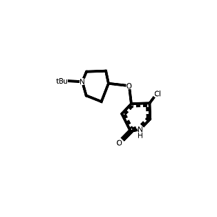 CC(C)(C)N1CCC(Oc2cc(=O)[nH]cc2Cl)CC1